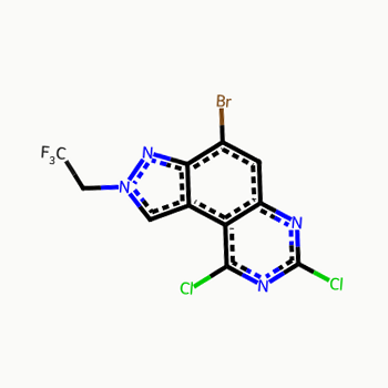 FC(F)(F)Cn1cc2c(n1)c(Br)cc1nc(Cl)nc(Cl)c12